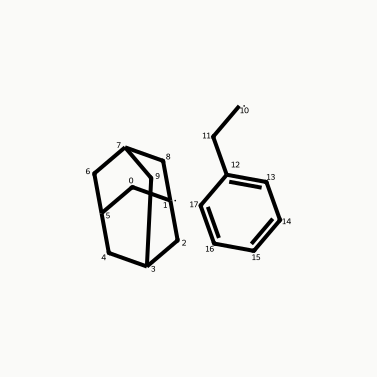 C1[C]2CC3CC1CC(C2)C3.[CH2]Cc1ccccc1